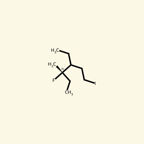 CCC(CCI)[C@@](C)(F)CC